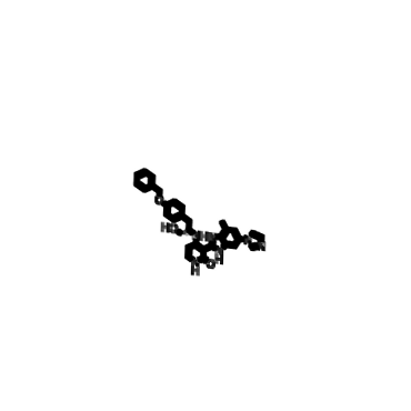 Cc1cc(-n2ccnc2)cc2[nH]c(-c3c(N[C@H](CO)Cc4ccc(OCc5ccccc5)cc4)cc[nH]c3=O)nc12